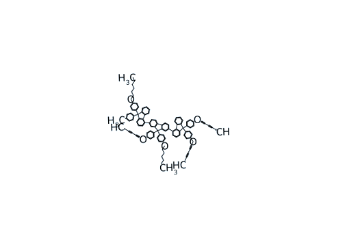 C#CC#CC#COc1ccc(C2(c3ccc(OCCCCCC)cc3)c3cc(-c4cccc5c4-c4ccccc4C5(c4ccc(OC#CC#CC#C)cc4)c4ccc(OC#CC#CC#C)cc4)ccc3-c3ccc(-c4cccc5c4-c4ccccc4C5(c4ccc(C)cc4)c4ccc(OCCCCCC)cc4)cc32)cc1